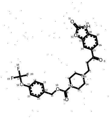 O=C(CCN1CCN(C(=O)OCc2ccc(OC(F)(F)F)cc2)CC1)c1ccc2[nH]c(=O)oc2c1